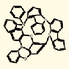 c1ccc([Si]2(c3ccccc3)c3cccc4c3Oc3cc(cc5c3B4c3ccccc3O5)-n3c4ccccc4c4cccc(c43)-n3c4ccccc4c4c2cccc43)cc1